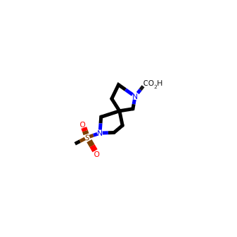 CS(=O)(=O)N1CCC2(CCN(C(=O)O)C2)C1